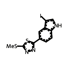 CSc1nnc(-c2ccc3[nH]cc(I)c3c2)s1